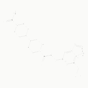 CCc1cc(C[CH]C(=O)N2CCC(C3CCN(C(N)=O)CC3)CC2)cc2cn[nH]c12